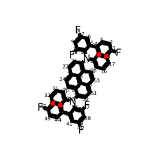 Fc1ccc(-c2cc(F)cc(F)c2N(c2ccccc2)c2ccc3ccc4c(N(c5ccccc5)c5c(F)cc(F)cc5-c5ccc(F)cc5)ccc5ccc2c3c54)cc1